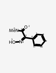 CNC(=O)C(=NO)c1ccccc1